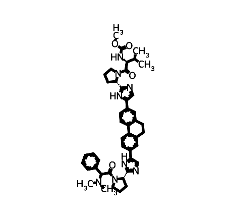 COC(=O)N[C@H](C(=O)N1CCC[C@H]1c1ncc(-c2ccc3c(c2)CCc2cc(-c4cnc([C@@H]5CCCN5C(=O)C(c5ccccc5)N(C)C)[nH]4)ccc2-3)[nH]1)C(C)C